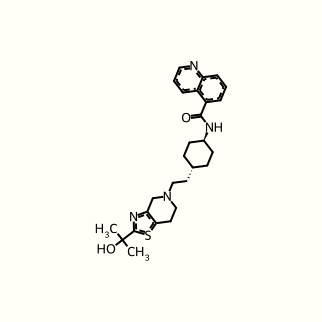 CC(C)(O)c1nc2c(s1)CCN(CC[C@H]1CC[C@H](NC(=O)c3cccc4ncccc34)CC1)C2